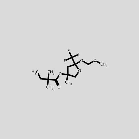 CCC(C)(C)C(=O)OC1(C)COC(OCOC)(C(F)(F)F)C1